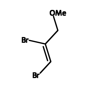 [CH2]OCC(Br)=CBr